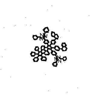 c1ccc(-c2nc(-c3ccccc3)nc(-c3ccc(-c4c(-c5ccc(-c6cccc7ccccc67)cc5)c(-c5ccc(-c6cccc7ccccc67)cc5)c(-c5ccc(-c6nc(-c7ccccc7)nc(-c7ccccc7)n6)cc5)c5c6cccc7c8c(-c9ccccc9)c(-c9ccccc9)c(-c9ccccc9)c(-c9ccccc9)c8c8cccc(c45)c8c76)cc3)n2)cc1